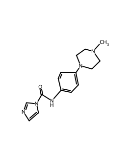 CN1CCN(c2ccc(NC(=O)n3ccnc3)cc2)CC1